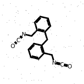 O=C=NCc1[c]cccc1Cc1ccc[c]c1CN=C=O